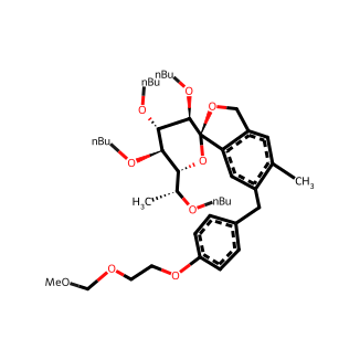 CCCCO[C@H]1[C@H](OCCCC)[C@@H](OCCCC)[C@@]2(OCc3cc(C)c(Cc4ccc(OCCOCOC)cc4)cc32)O[C@@H]1[C@@H](C)OCCCC